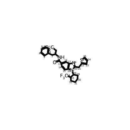 O=C(O)CC(Cc1ccccc1)NC(=O)c1ccc2c(c1)nc(Cc1cccs1)n2C1CCCCC1C(F)(F)F